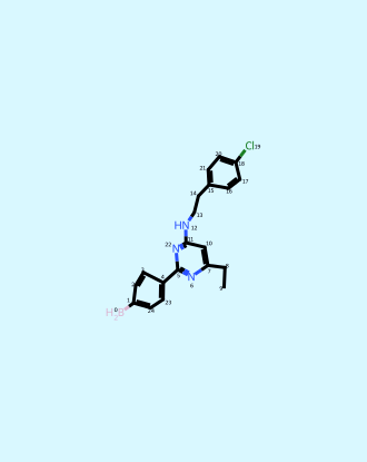 Bc1ccc(-c2nc(CC)cc(NCCc3ccc(Cl)cc3)n2)cc1